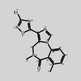 CCc1noc(-c2ncn3c2CN(C)C(=O)c2c(C)cccc2-3)n1